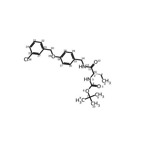 CC[C@H](NC(=O)OC(C)(C)C)C(=O)NCc1ccc(OCc2cccc(Cl)c2)cc1